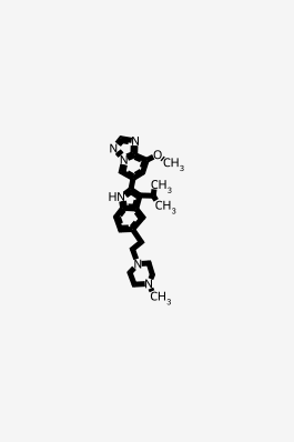 COc1cc(-c2[nH]c3ccc(CCN4CCN(C)CC4)cc3c2C(C)C)cn2ncnc12